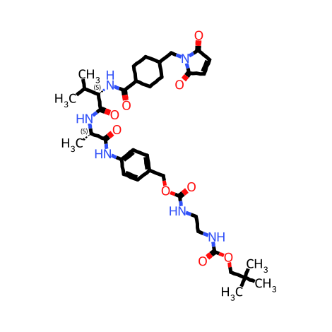 CC(C)[C@H](NC(=O)C1CCC(CN2C(=O)C=CC2=O)CC1)C(=O)N[C@@H](C)C(=O)Nc1ccc(COC(=O)NCCNC(=O)OCC(C)(C)C)cc1